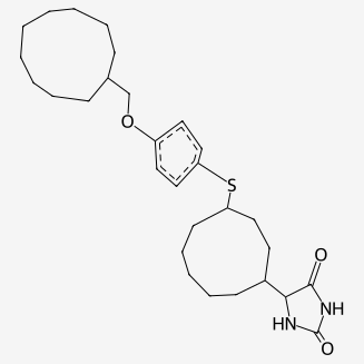 O=C1NC(=O)C(C2CCCCCC(Sc3ccc(OCC4CCCCCCCCC4)cc3)CC2)N1